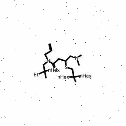 C=CCN(CC(C)(CC)CCCCCC)C(=O)CC(CN(C)C)SCC(C)(CCCCCC)CCCCCC